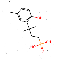 Cc1ccc(O)c(C(C)(C)CCP(=O)(O)O)c1